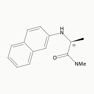 CNC(=O)[C@H](C)Nc1ccc2ccccc2c1